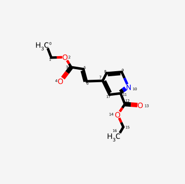 CCOC(=O)C=Cc1ccnc(C(=O)OCC)c1